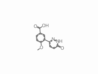 COc1ccc(C(=O)O)cc1-c1ccc(=O)[nH]n1